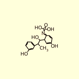 CC(c1cccc(O)c1)C(O)C1C=C(O)C=C/C1=N\P(=O)(O)O